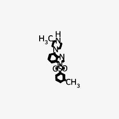 Cc1cccc(S(=O)(=O)n2cnc3c(N4CCNC(C)C4)cccc32)c1